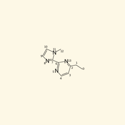 CCc1ccnc(-c2nccn2C)n1